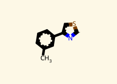 Cc1cccc(-c2cs[c]n2)c1